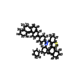 c1ccc(-c2cccc(N(c3ccc(-c4ccc5c(ccc6ccc7ccccc7c65)c4)cc3)c3cccc4sc5c6ccccc6ccc5c34)c2)cc1